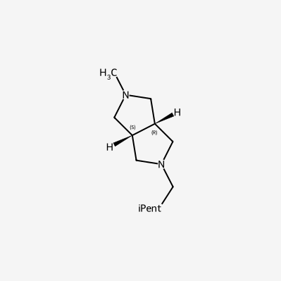 CCCC(C)CN1C[C@H]2CN(C)C[C@H]2C1